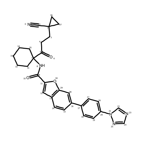 N#CC1(CCC(=O)C2(NC(=O)c3cc4ccc(-c5ccc(-n6cncn6)cc5)cc4o3)CCCCC2)CC1